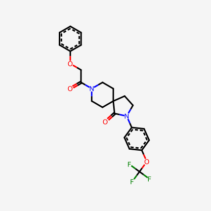 O=C(COc1ccccc1)N1CCC2(CC1)CCN(c1ccc(OC(F)(F)F)cc1)C2=O